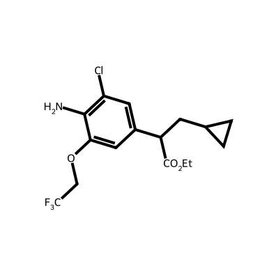 CCOC(=O)C(CC1CC1)c1cc(Cl)c(N)c(OCC(F)(F)F)c1